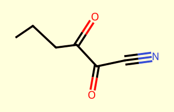 CCCC(=O)C(=O)C#N